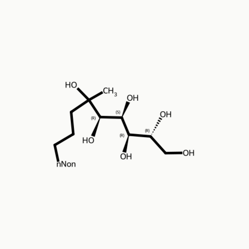 CCCCCCCCCCCCC(C)(O)[C@H](O)[C@@H](O)[C@H](O)[C@H](O)CO